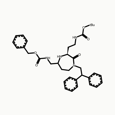 CC(C)(C)OC(=O)NCC[C@@H]1NC(CNC(=O)OCc2ccccc2)CCN(CC(c2ccccc2)c2ccccc2)C1=O